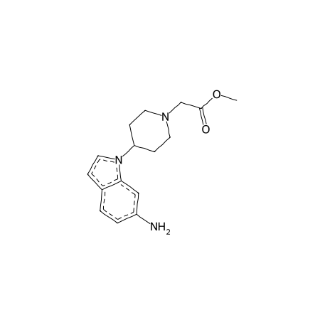 COC(=O)CN1CCC(n2ccc3ccc(N)cc32)CC1